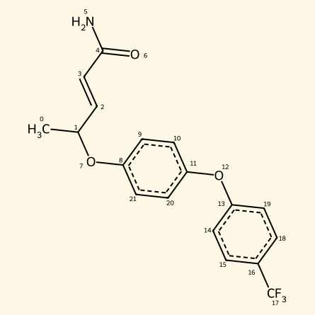 CC(C=CC(N)=O)Oc1ccc(Oc2ccc(C(F)(F)F)cc2)cc1